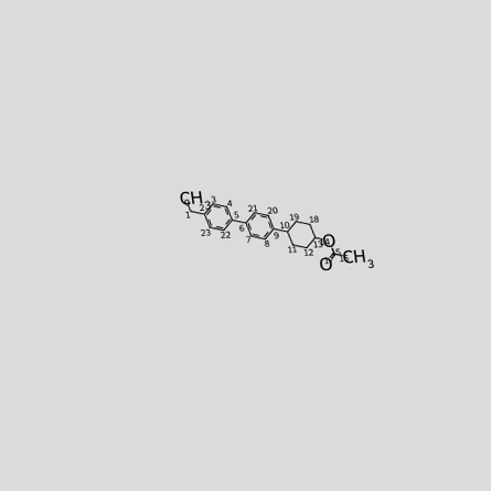 CCc1ccc(-c2ccc(C3CCC(OC(C)=O)CC3)cc2)cc1